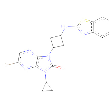 O=c1n(C2CC(Nc3nc4ccccc4s3)C2)c2ncc(Br)nc2n1C1CC1